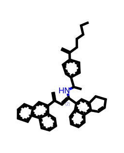 C=C(CCCCC)c1ccc(C(C)N/C(=C\C(=C)c2cc3ccccc3c3ccccc23)c2cc3c(c4ccccc24)C=CCC3)cc1